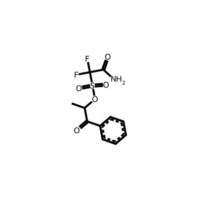 CC(OS(=O)(=O)C(F)(F)C(N)=O)C(=O)c1ccccc1